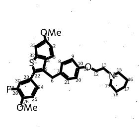 COc1ccc2c(Cc3ccc(OCCN4CCCCC4)cc3)c(-c3ccc(OC)c(F)c3)sc2c1